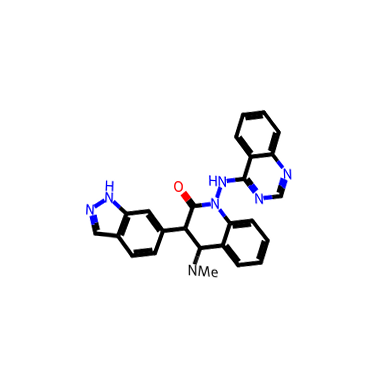 CNC1c2ccccc2N(Nc2ncnc3ccccc23)C(=O)C1c1ccc2cn[nH]c2c1